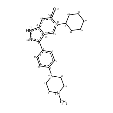 CN1CCN(c2ccc(-c3n[nH]c4cc(=O)n(C5CCCCC5)cc34)cc2)CC1